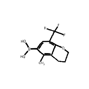 Cc1c(B(O)O)cc(C(F)(F)F)c2c1CCCO2